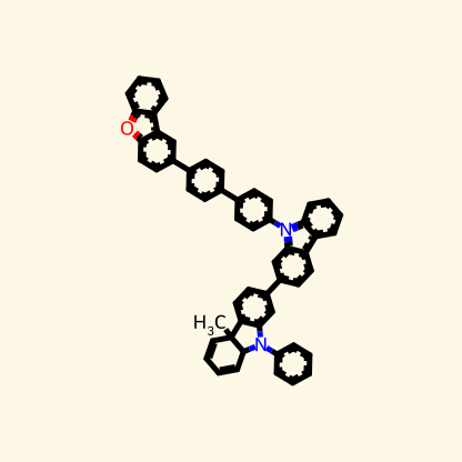 CC12C=CC=CC1N(c1ccccc1)c1cc(-c3ccc4c5ccccc5n(-c5ccc(-c6ccc(-c7ccc8oc9ccccc9c8c7)cc6)cc5)c4c3)ccc12